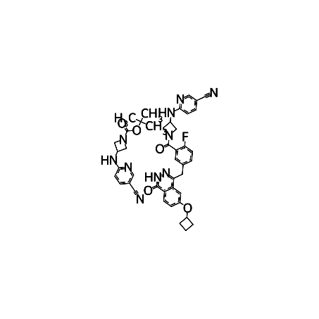 CC(C)(C)OC(=O)N1CC(Nc2ccc(C#N)cn2)C1.N#Cc1ccc(NC2CN(C(=O)c3cc(Cc4n[nH]c(=O)c5ccc(OC6CCC6)cc45)ccc3F)C2)nc1